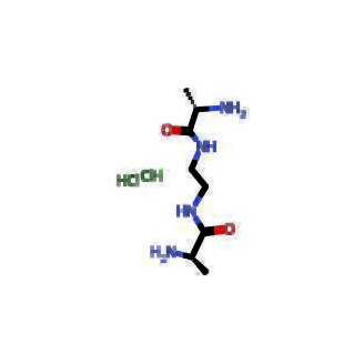 C[C@H](N)C(=O)NCCNC(=O)[C@@H](C)N.Cl.Cl